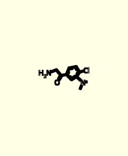 CN(C)c1cc(C(=O)CN)ccc1Cl